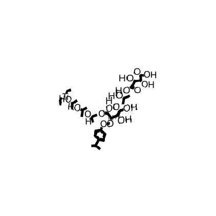 CC(C)O.CC(C)O.CC(C)O.CC(C)O.CC(C)c1ccc(OO[C@@H](C(=O)O)[C@@H](O)C(=O)O)cc1.C[CH2][Ti][CH2]C.O=C(O)C(O)C(O)C(=O)O